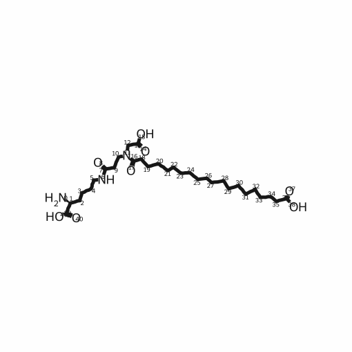 N[C@@H](CCCCNC(=O)CCN(CC(=O)O)C(=O)CCCCCCCCCCCCCCCCCCC(=O)O)C(=O)O